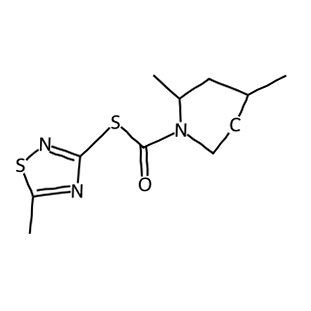 Cc1nc(SC(=O)N2CCC(C)CC2C)ns1